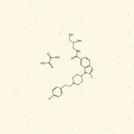 Cc1cc2ccc(C(=O)NCC(O)CO)cc2n1C1CCN(CCc2ccc(F)cc2)CC1.O=C(O)C(=O)O